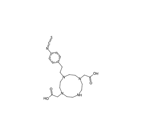 O=C(O)CN1CCNCCN(CC(=O)O)CCN(CCc2ccc(N=C=S)cc2)CC1